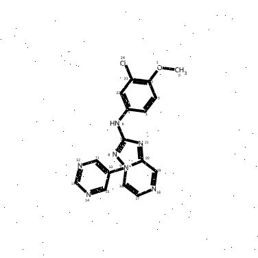 COc1ccc(NC2=N[N+]3(c4cncnc4)C=CN=CC3=N2)cc1Cl